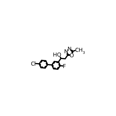 Cc1nnc(CC(O)c2cc(-c3ccc(Cl)cc3)ccc2F)o1